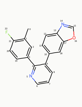 Cc1cc(-c2ncccc2-c2ccc3ncoc3c2)ccc1F